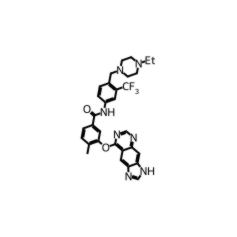 CCN1CCN(Cc2ccc(NC(=O)c3ccc(C)c(Oc4ncnc5cc6[nH]cnc6cc45)c3)cc2C(F)(F)F)CC1